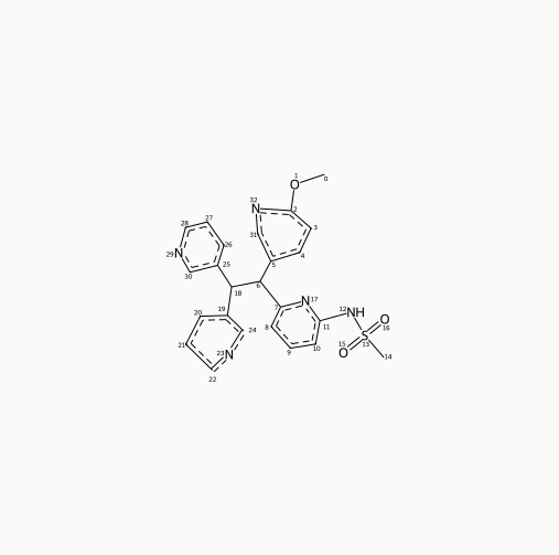 COc1ccc(C(c2cccc(NS(C)(=O)=O)n2)C(c2cccnc2)c2cccnc2)cn1